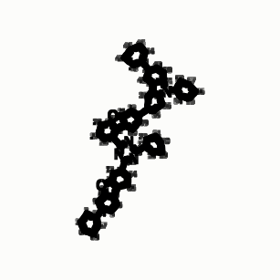 c1ccc(-c2ccc3c(c2)oc2cc(-c4nc(-c5ccccc5)nc(-c5cccc6oc7cc(-c8ccc9c(c8)c8cc(-c%10ccccc%10)ccc8n9-c8ccccc8)ccc7c56)n4)ccc23)cc1